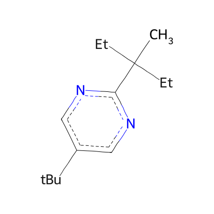 CCC(C)(CC)c1ncc(C(C)(C)C)cn1